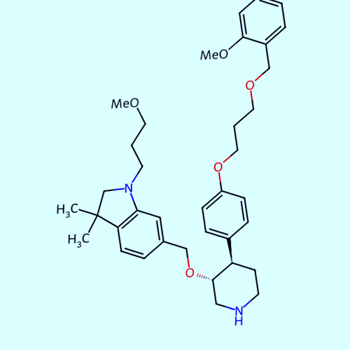 COCCCN1CC(C)(C)c2ccc(CO[C@H]3CNCC[C@@H]3c3ccc(OCCCOCc4ccccc4OC)cc3)cc21